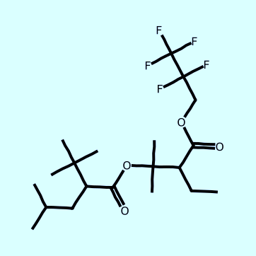 CCC(C(=O)OCC(F)(F)C(F)(F)F)C(C)(C)OC(=O)C(CC(C)C)C(C)(C)C